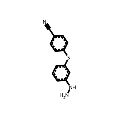 N#Cc1ccc(Sc2cccc(NN)c2)cc1